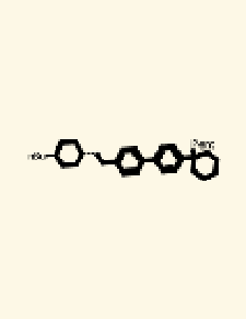 CCCC[C@H]1CC[C@H](CCc2ccc(-c3ccc(C4(C(C)CCC)CCCCC4)cc3)cc2)CC1